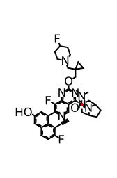 C#Cc1c(F)ccc2cc(O)cc(-c3ncc4c(N5CC6CCC(C5)N6C(=O)N(C)C)nc(OCC5(CN6CCC(F)CC6)CC5)nc4c3F)c12